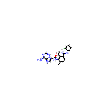 Cc1ccc2c(Nc3ccccc3F)nccc2c1NC(=O)c1cnc2c(N)ncnn12